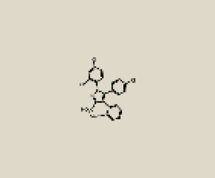 COc1ccccc1-c1c(C(=O)O)nn(-c2ccc(Cl)cc2Cl)c1-c1ccc(Cl)cc1